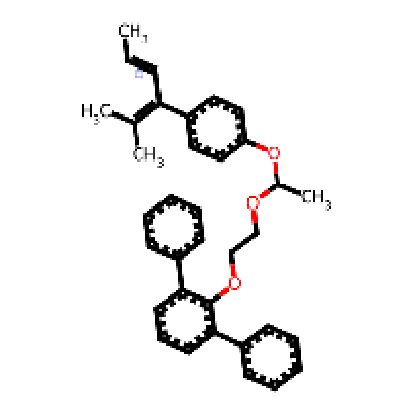 C/C=C/C(=C(C)C)c1ccc(OC(C)OCCOc2c(-c3ccccc3)cccc2-c2ccccc2)cc1